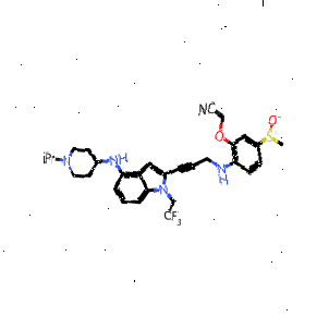 CC(C)N1CCC(Nc2cccc3c2cc(C#CCNc2ccc([S+](C)[O-])cc2OCC#N)n3CC(F)(F)F)CC1